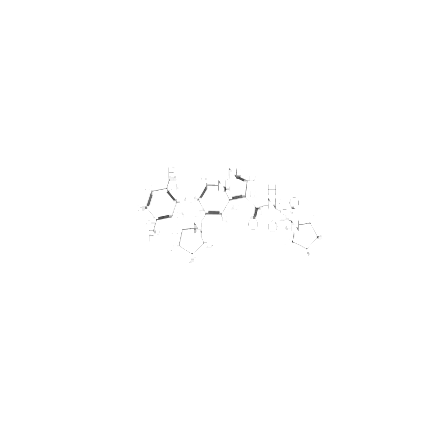 O=C(NS(=O)(=O)N1CCCC1)c1cnn2ccc(N3CCC[C@@H]3c3cc(F)ccc3F)cc12